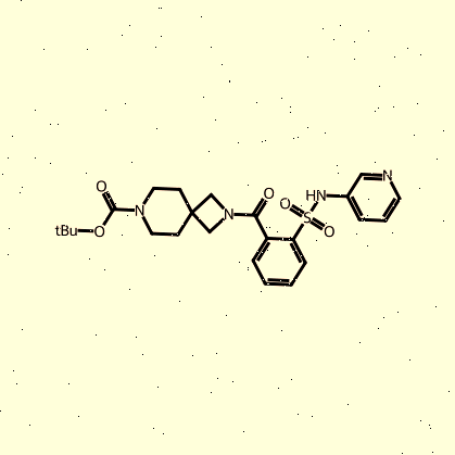 CC(C)(C)OC(=O)N1CCC2(CC1)CN(C(=O)c1ccccc1S(=O)(=O)Nc1cccnc1)C2